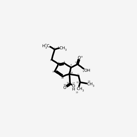 CC(C)CC1=CC(C(=O)O)C(CC(C)C)(C(=O)O)C=C1